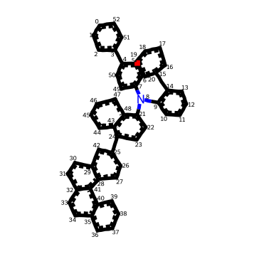 c1ccc(-c2ccc(N(c3ccccc3-c3ccccc3)c3ccc(-c4ccc5c(ccc6ccc7ccccc7c65)c4)c4ccccc34)cc2)cc1